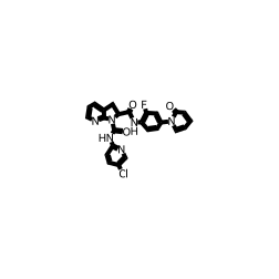 O=C(Nc1ccc(-n2ccccc2=O)cc1F)C1Cc2cccnc2N1C(=O)Nc1ccc(Cl)cn1